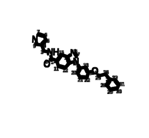 O=C(NCc1cccnc1)c1ccc2c(c1)ncn2-c1cccc(OCCc2ccccc2)c1